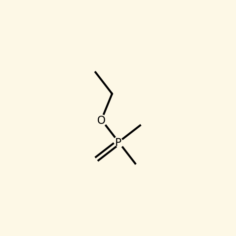 C=P(C)(C)OCC